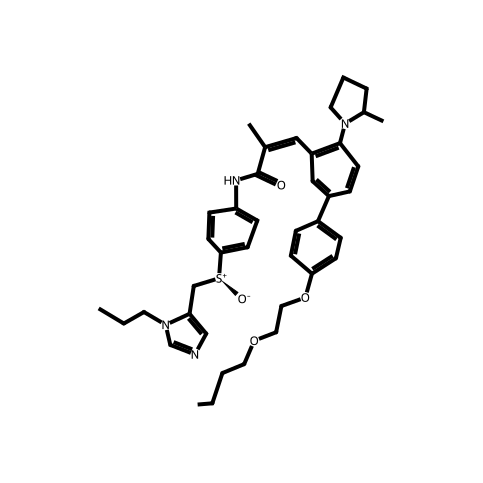 CCCCOCCOc1ccc(-c2ccc(N3CCCC3C)c(C=C(C)C(=O)Nc3ccc([S@@+]([O-])Cc4cncn4CCC)cc3)c2)cc1